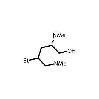 CCC(CNC)C[C@@H](CO)NC